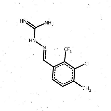 Cc1ccc(C=NNC(=N)N)c(C(F)(F)F)c1Cl